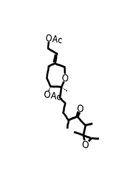 CC(=O)OC/C=C1\CC[C@@H](OC(C)=O)[C@](C)(CCCC(C)C(=O)C(C)C2(C)OC2C)OC1